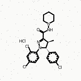 C[C@@H]1C(C(=O)NN2CCCCC2)=NN(c2ccc(Cl)cc2Cl)[C@H]1c1ccc(Cl)cc1.Cl